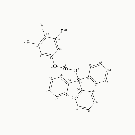 Fc1cc([O][Zn][O][Si](c2ccccc2)(c2ccccc2)c2ccccc2)cc(F)c1F